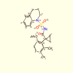 COc1ccc(C)c(C)c1C1(C(=O)NS(=O)(=O)N2CCCc3ccccc32)CC1